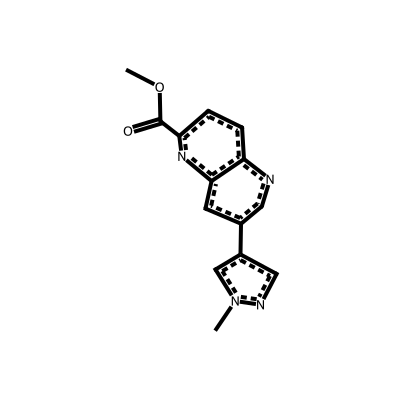 COC(=O)c1ccc2ncc(-c3cnn(C)c3)cc2n1